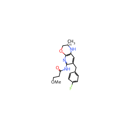 COCCC(=O)Nc1nc2c(cc1Cc1ccc(F)cc1)N[C@@H](C)CO2